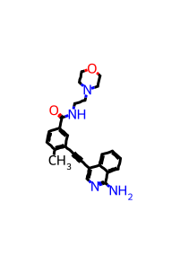 Cc1ccc(C(=O)NCCN2CCOCC2)cc1C#Cc1cnc(N)c2ccccc12